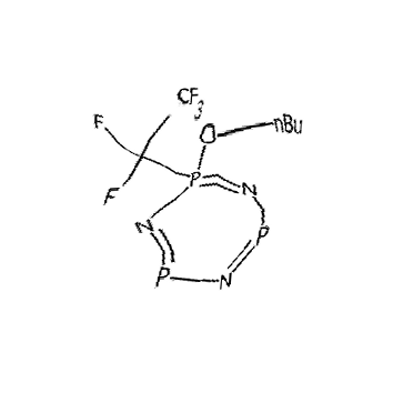 CCCCOP1(C(F)(F)C(F)(F)F)=NP=NP=N1